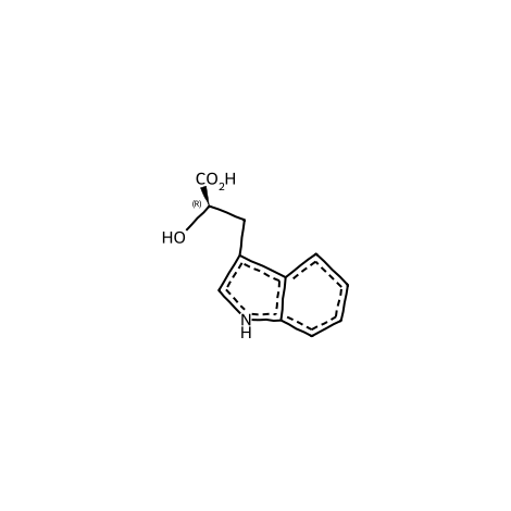 O=C(O)[C@H](O)Cc1c[nH]c2ccccc12